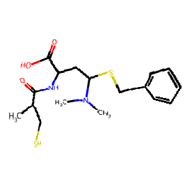 CC(CS)C(=O)NC(CC(SCc1ccccc1)N(C)C)C(=O)O